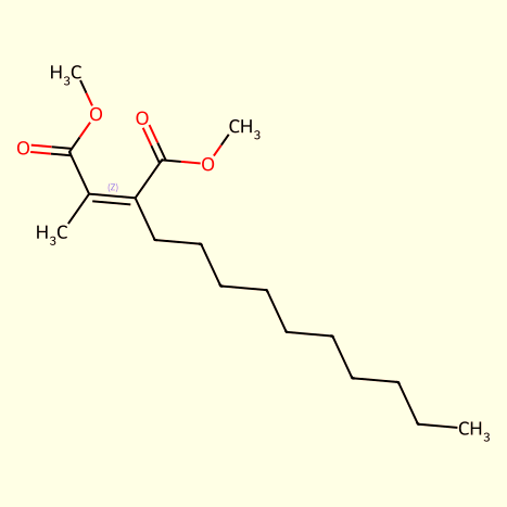 CCCCCCCCCC/C(C(=O)OC)=C(\C)C(=O)OC